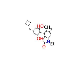 CCN1C(=O)Cc2c1ccc(C)c2-c1c(O)cc(CC2CCC2)cc1O